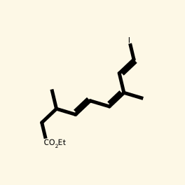 CCOC(=O)CC(C)C=CC=C(C)C=CI